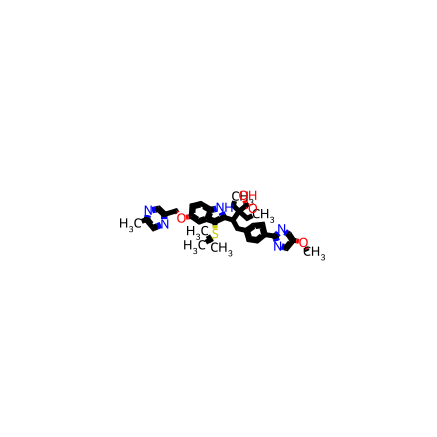 CCC(CC)(C(=O)O)C(Cc1ccc(-c2ncc(OC)cn2)cc1)c1[nH]c2ccc(OCc3cnc(C)cn3)cc2c1SC(C)(C)C